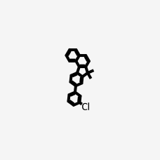 CC1(C)c2cc(-c3cccc(Cl)c3)ccc2-c2c1ccc1ccccc21